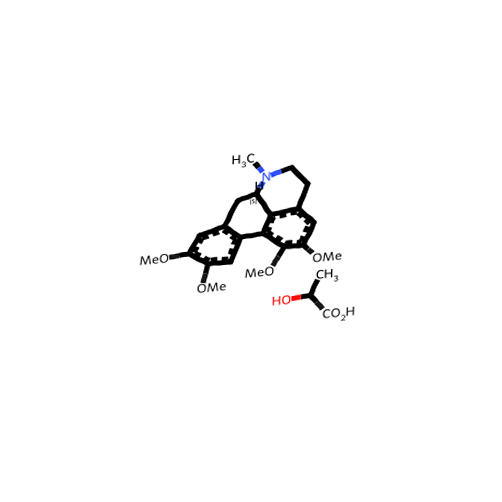 CC(O)C(=O)O.COc1cc2c(cc1OC)-c1c(OC)c(OC)cc3c1[C@H](C2)N(C)CC3